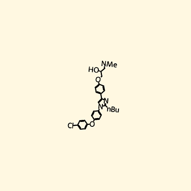 CCCCc1nc(-c2ccc(OC[C@@H](O)CNC)cc2)cn1-c1ccc(Oc2ccc(Cl)cc2)cc1